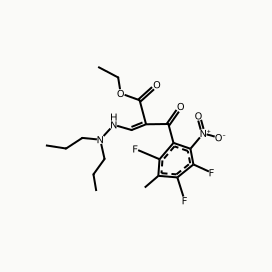 CCCN(CCC)NC=C(C(=O)OCC)C(=O)c1c(F)c(C)c(F)c(F)c1[N+](=O)[O-]